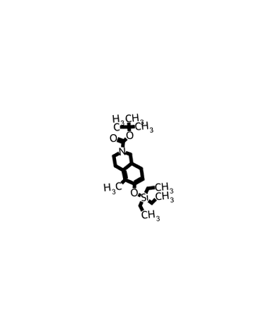 CC[Si](CC)(CC)OC1=CCC2CN(C(=O)OC(C)(C)C)CCC2=C1C